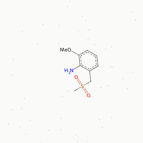 COc1cccc(CS(C)(=O)=O)c1N